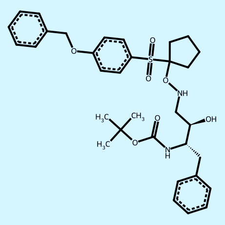 CC(C)(C)OC(=O)N[C@@H](Cc1ccccc1)[C@H](O)CNOC1(S(=O)(=O)c2ccc(OCc3ccccc3)cc2)CCCC1